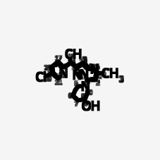 Cc1cc(N2CCCC(O)C2)n2nc(C(C)c3ccc(Cl)cn3)cc2n1